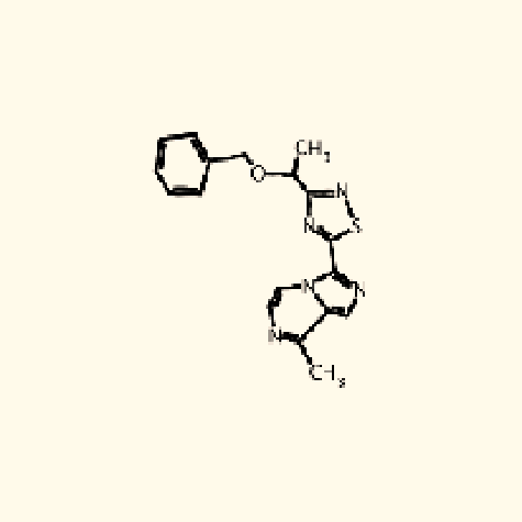 Cc1nccn2c(-c3nc(C(C)OCc4ccccc4)ns3)ncc12